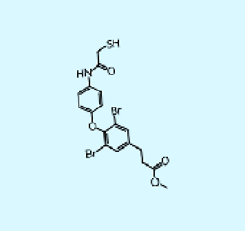 COC(=O)CCc1cc(Br)c(Oc2ccc(NC(=O)CS)cc2)c(Br)c1